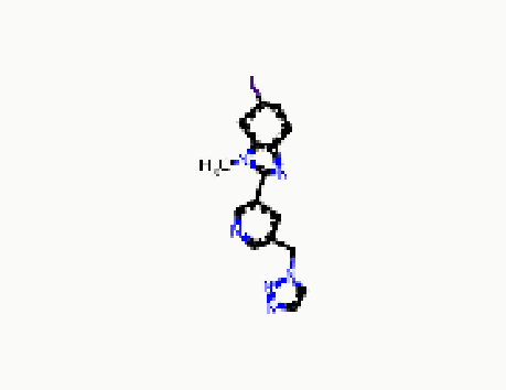 Cn1c(-c2cncc(Cn3ccnn3)c2)nc2ccc(I)cc21